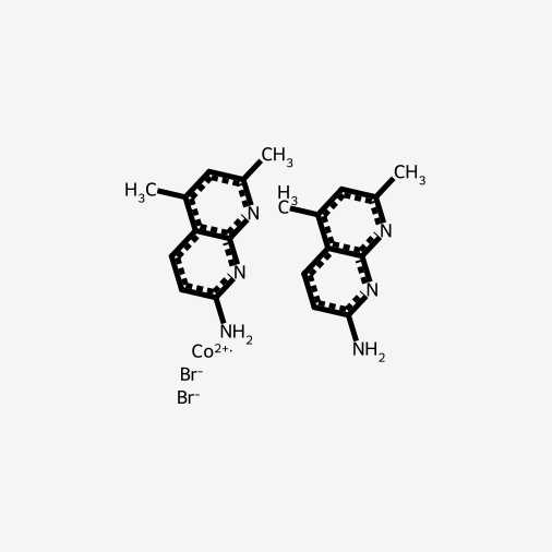 Cc1cc(C)c2ccc(N)nc2n1.Cc1cc(C)c2ccc(N)nc2n1.[Br-].[Br-].[Co+2]